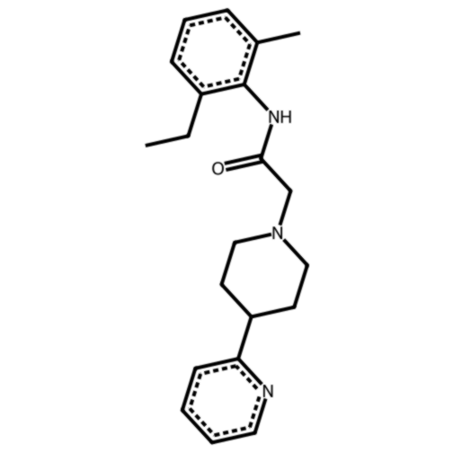 CCc1cccc(C)c1NC(=O)CN1CCC(c2ccccn2)CC1